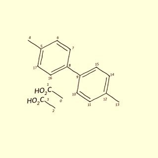 CC(=O)O.CC(=O)O.Cc1ccc(-c2ccc(C)cc2)cc1